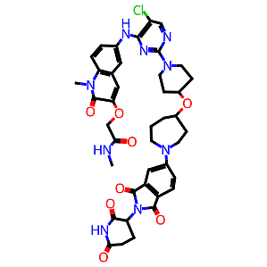 CNC(=O)COc1cc2cc(Nc3nc(N4CCC(OC5CCCN(c6ccc7c(c6)C(=O)N(C6CCC(=O)NC6=O)C7=O)CC5)CC4)ncc3Cl)ccc2n(C)c1=O